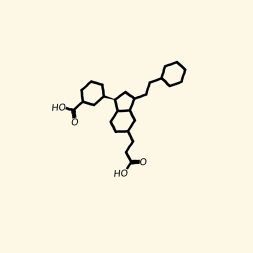 O=C(O)CCC1CCC2C(C1)C(CCC1CCCCC1)C[C@@H]2C1CCCC(C(=O)O)C1